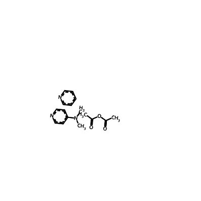 CC(=O)OC(C)=O.CN(C)c1ccncc1.c1ccncc1